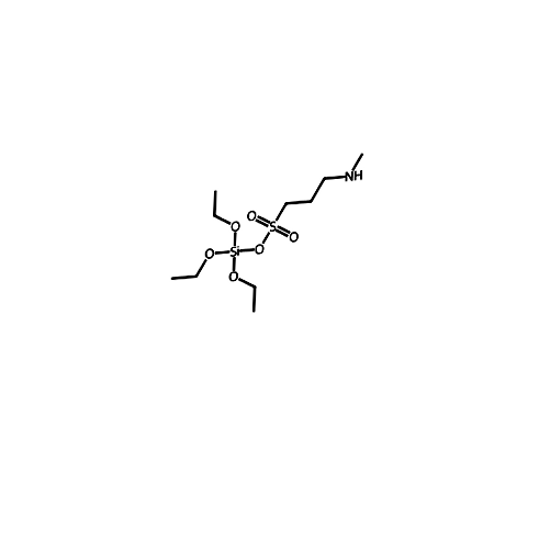 CCO[Si](OCC)(OCC)OS(=O)(=O)CCCNC